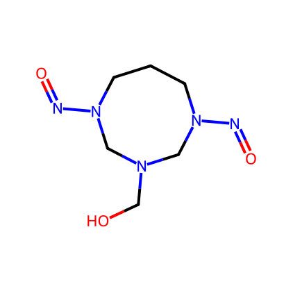 O=NN1CCCN(N=O)CN(CO)C1